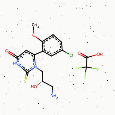 COc1ccc(Cl)cc1-c1cc(=O)[nH]c(=S)n1C[C@@H](O)CN.O=C(O)C(F)(F)F